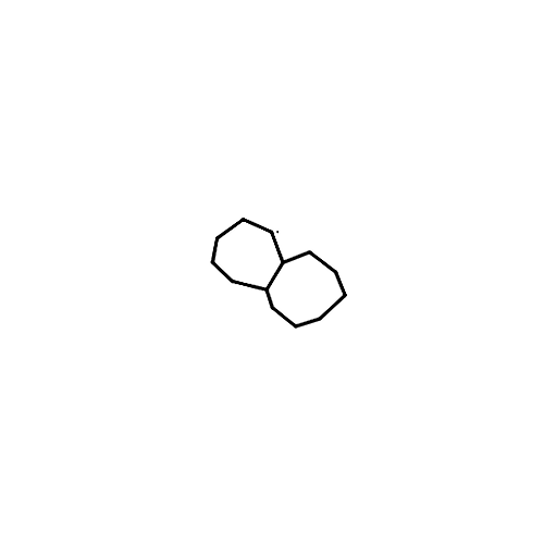 [CH]1CCCCC2CCCCCCC12